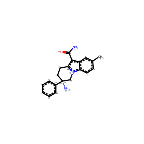 Cc1ccc2c(c1)c(C(N)=O)c1n2C[C@@](N)(c2ccccc2)CC1